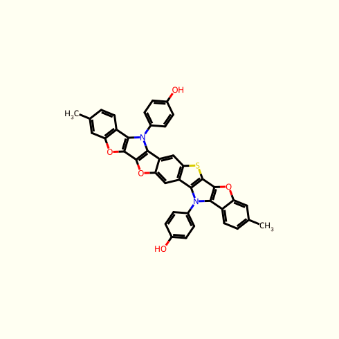 Cc1ccc2c(c1)oc1c3oc4cc5c(cc4c3n(-c3ccc(O)cc3)c21)sc1c2oc3cc(C)ccc3c2n(-c2ccc(O)cc2)c51